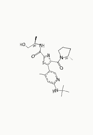 Cc1cc(NC(C)(C)C)ncc1-c1sc(C(=O)N[C@H](C)CO)nc1C(=O)N1CCC[C@@H]1C